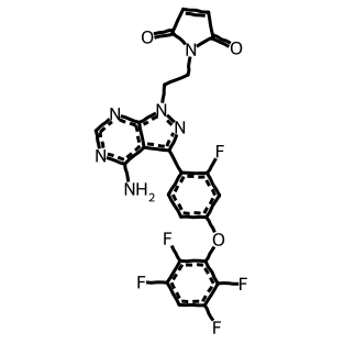 Nc1ncnc2c1c(-c1ccc(Oc3c(F)c(F)cc(F)c3F)cc1F)nn2CCN1C(=O)C=CC1=O